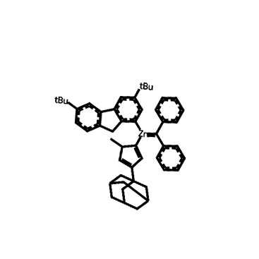 CC1C=C(C23CC4CC(CC(C4)C2)C3)C=[C]1[Zr](=[C](c1ccccc1)c1ccccc1)[c]1cc(C(C)(C)C)cc2c1Cc1ccc(C(C)(C)C)cc1-2